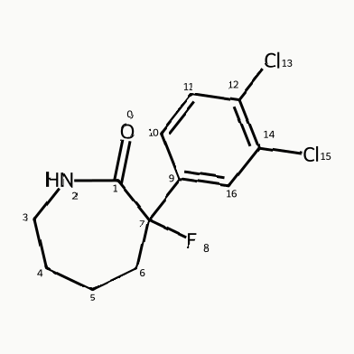 O=C1NCCCCC1(F)c1ccc(Cl)c(Cl)c1